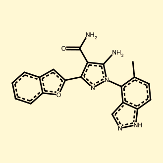 Cc1ccc2[nH]ncc2c1-n1nc(-c2cc3ccccc3o2)c(C(N)=O)c1N